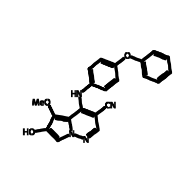 COc1c(O)cn2ncc(C#N)c(Nc3ccc(Oc4ccccc4)cc3)c12